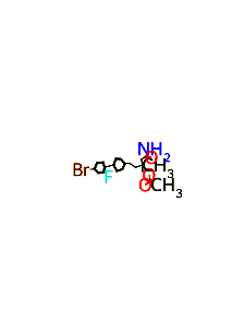 CC(=O)OCC(C)(CCc1ccc(-c2ccc(Br)cc2F)cc1)CC(N)=O